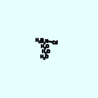 O.O.O.O.O=[N+]([O-])[Cd]